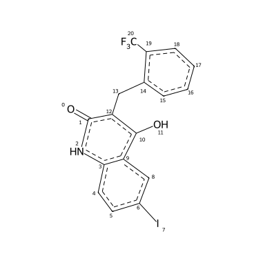 O=c1[nH]c2ccc(I)cc2c(O)c1Cc1ccccc1C(F)(F)F